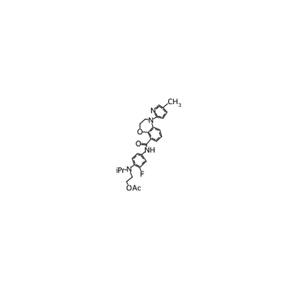 CC(=O)OCCN(c1ccc(NC(=O)c2cccc3c2OCCN3c2ccc(C)cn2)cc1F)C(C)C